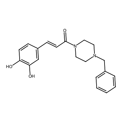 O=C(C=Cc1ccc(O)c(O)c1)N1CCN(Cc2ccccc2)CC1